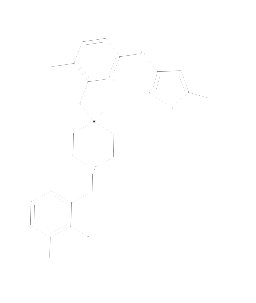 Cc1cc(Nc2ccc(Cl)c(CC3(C(=O)O)CCN(Cc4cccc(Cl)c4F)CC3)n2)n[nH]1